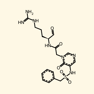 N=C(N)NCCC[C@@H](C=O)NC(=O)Cn1cncc(NS(=O)(=O)Cc2ccccc2)c1=O